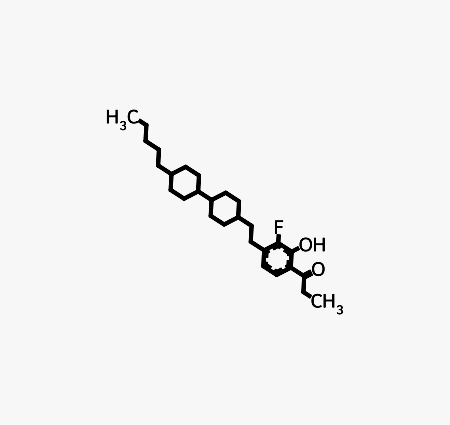 CCCCCC1CCC(C2CCC(CCc3ccc(C(=O)CC)c(O)c3F)CC2)CC1